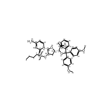 CCCC[Si](C)(C)O[C@@H]1C[C@@H](C(OC(c2ccccc2)(c2ccc(OC)cc2)c2ccc(OC)cc2)C(C)=O)O[C@H]1n1ccc(N)nc1=O